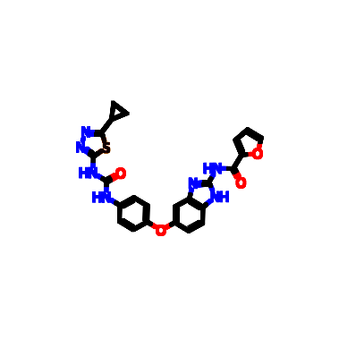 O=C(Nc1ccc(Oc2ccc3[nH]c(NC(=O)c4ccco4)nc3c2)cc1)Nc1nnc(C2CC2)s1